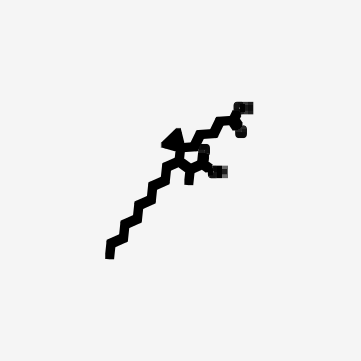 CCCCCCCCCCC(C(C)C(=O)O)C1(CCCCC(=O)O)CC1